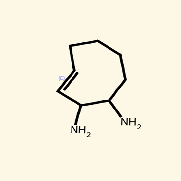 NC1/C=C/CCCCC1N